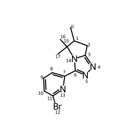 CC1Cc2nnc(-c3cccc(Br)n3)n2C1(C)C